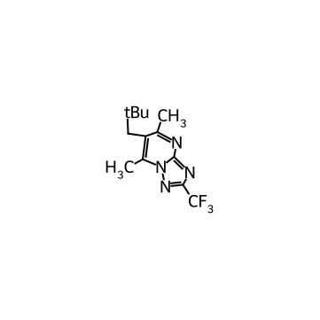 Cc1nc2nc(C(F)(F)F)nn2c(C)c1CC(C)(C)C